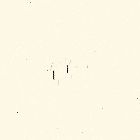 BCl.BCl.O